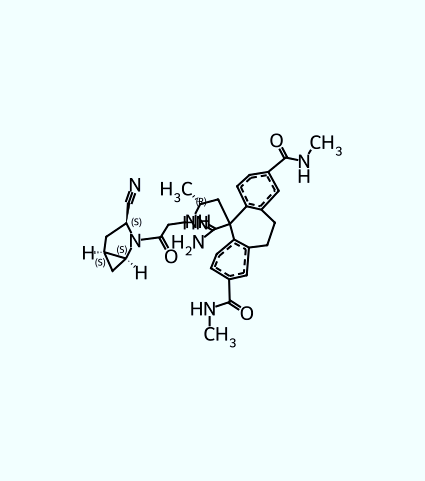 CNC(=O)c1ccc2c(c1)CCc1cc(C(=O)NC)ccc1C2(C[C@@H](C)NCC(=O)N1[C@H](C#N)C[C@@H]2C[C@@H]21)C(=N)N